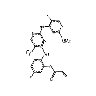 C=CC(=O)Nc1cc(F)ccc1Nc1nc(Nc2cc(OC)ncc2C)ncc1C(F)(F)F